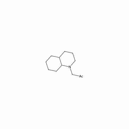 CC(=O)CN1CCCC2CCCCC21